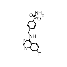 NS(=O)(=O)c1ccc(CNc2ncnc3cc(F)ccc23)cc1